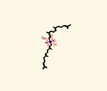 CCOP(C)(=O)C(C/C=C(\C)CC/C=C(\C)CCC=C(C)C)(C/C=C(\C)CC/C=C(\C)CCC=C(C)C)P(=O)(O)O